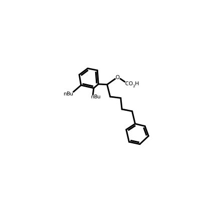 CCCCc1cccc(C(CCCCc2ccccc2)OC(=O)O)c1CCCC